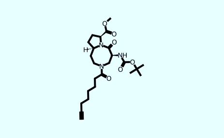 C#CCCCCCC(=O)N1CC[C@H]2CC[C@@H](C(=O)OC)N2C(=O)[C@@H](NC(=O)OC(C)(C)C)C1